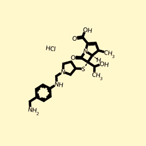 CC1C=C(C(=O)O)N2C(=O)[C@](SC3CCN(CNc4ccc(CN)cc4)C3)(C(C)O)[C@H]12.Cl